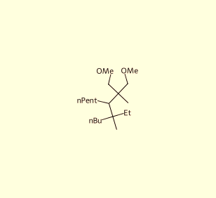 CCCCCC(C(C)(CC)CCCC)C(C)(COC)COC